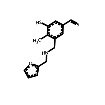 Cc1c(S)cc(C=S)cc1CNCc1ccco1